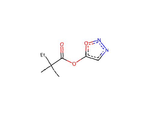 CCC(C)(C)C(=O)Oc1cnno1